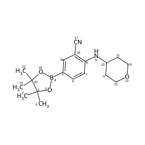 CC1(C)OB(c2ccc(NC3CCOCC3)c(C#N)c2)OC1(C)C